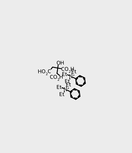 CC[N+](CC)(CC)c1ccccc1.CC[N+](CC)(CC)c1ccccc1.O=C(O)CC(O)(CC(=O)O)C(=O)O